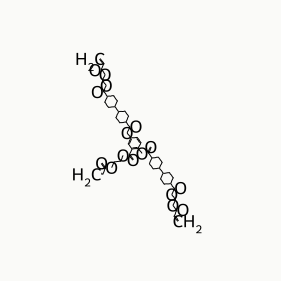 C=CC(=O)OCCOC(=O)c1cc(OC(=O)C2CCC(C3CCC(C(=O)OCOC(=O)C=C)CC3)CC2)ccc1OC(=O)C1CCC(C2CCC(C(=O)OCOC(=O)C=C)CC2)CC1